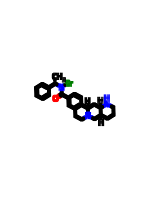 C[C@H](c1ccccc1)N(Br)C(=O)c1ccc2c(c1)CCN1C[C@H]3CCCN[C@H]3C[C@H]21